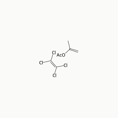 C=C(C)OC(C)=O.ClC(Cl)=C(Cl)Cl